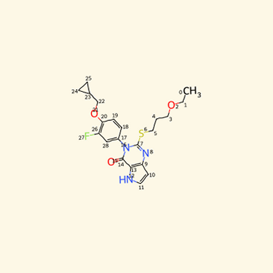 CCOCCCSc1nc2cc[nH]c2c(=O)n1-c1ccc(OCC2CC2)c(F)c1